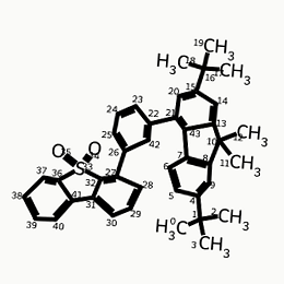 CC(C)(C)c1ccc2c(c1)C(C)(C)c1cc(C(C)(C)C)cc(-c3cccc(-c4cccc5c4S(=O)(=O)c4ccccc4-5)c3)c1-2